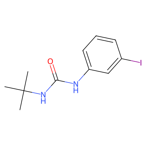 CC(C)(C)NC(=O)Nc1cccc(I)c1